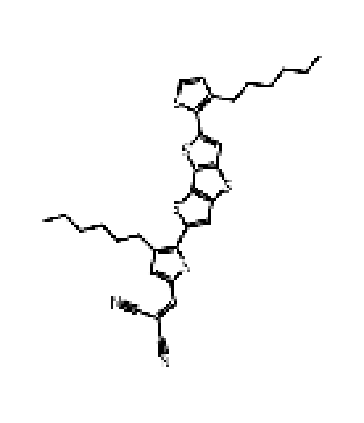 CCCCCCc1ccsc1-c1cc2sc3cc(-c4sc(C=C(C#N)C#N)cc4CCCCCC)sc3c2s1